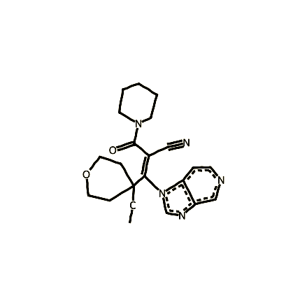 CCC1(C(=C(C#N)C(=O)N2CCCCC2)n2cnc3cnccc32)CCOCC1